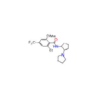 CCc1cc(C(F)(F)F)cc(OC)c1C(=O)NC1CCCC1N1CCCC1